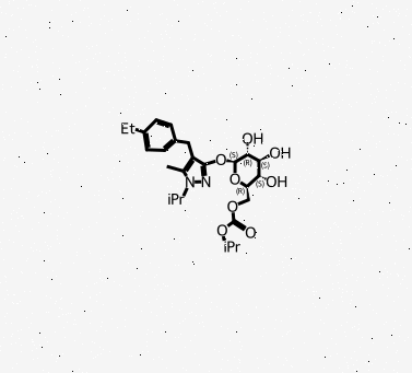 CCc1ccc(Cc2c(O[C@@H]3O[C@H](COC(=O)OC(C)C)[C@@H](O)[C@H](O)[C@H]3O)nn(C(C)C)c2C)cc1